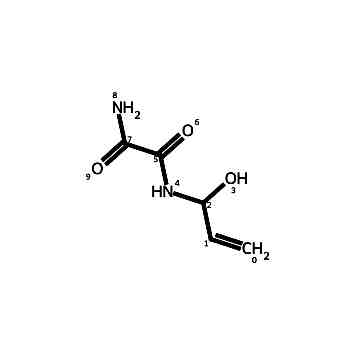 C=CC(O)NC(=O)C(N)=O